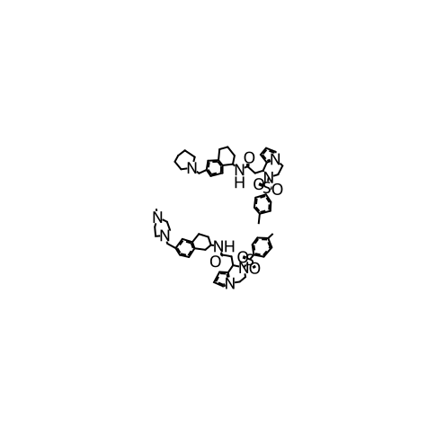 Cc1ccc(S(=O)(=O)N2CCn3cccc3C2CC(=O)NC2CCCc3cc(CN4CCCCC4)ccc32)cc1.Cc1ccc(S(=O)(=O)N2CCn3cccc3C2CC(=O)NC2CCc3cc(CN4CCN(C)CC4)ccc3C2)cc1